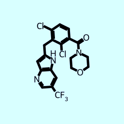 O=C(c1ccc(Cl)c(Cc2cc3ncc(C(F)(F)F)cc3[nH]2)c1Cl)N1CCOCC1